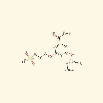 COC[C@H](C)Oc1cc(OCCCS(C)(=O)=O)cc(C(=O)OC)c1